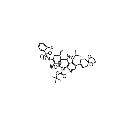 CC(C)n1nc(-c2cc(F)c(NS(=O)(=O)c3ccccc3F)cc2F)c2c(N(C(=O)O)C(=O)OC(C)(C)C)ncc(C3=CCC4(CC3)OCCO4)c21